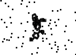 CC(C)(C)OC(=O)N1C2CCC1CN(c1ncc(C(=O)c3ccc(Br)cc3)cn1)C2